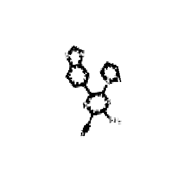 N#Cc1nc(-c2ccc3ncsc3c2)c(-n2cccn2)nc1N